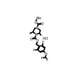 CC1CN(C(=O)OC(C)(C)C)CC(C)N1C(=O)OCc1c(F)cc(OC(F)F)cc1F.Cl